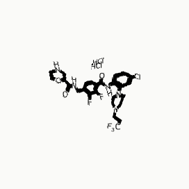 Cl.Cl.O=C(Nc1ccc(Cl)cc1N1CCN(CCC(F)(F)F)CC1)c1ccc(CNC(=O)C2CNCCO2)c(F)c1F